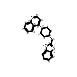 c1ccc2oc(C[C@H]3CC[C@@H](c4ccnc5ccccc54)CC3)nc2c1